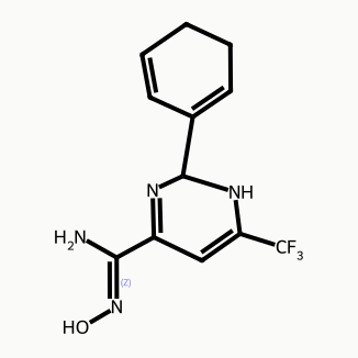 N/C(=N\O)C1=NC(C2=CCCC=C2)NC(C(F)(F)F)=C1